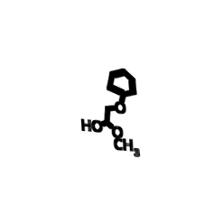 COC(O)COc1ccccc1